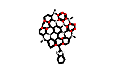 CN1c2ccccc2N(c2c(-c3ccccc3)c(N3c4ccccc4N(C)c4ccccc43)c(N3c4ccccc4N(C)c4ccccc43)c(N3c4ccccc4N(C)c4ccccc43)c2-c2ccc(-c3nc4ccccc4o3)cc2)c2ccccc21